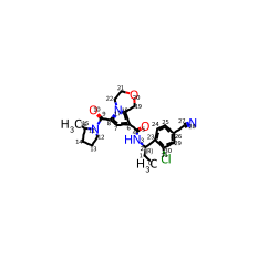 CC[C@@H](NC(=O)c1cc(C(=O)N2CCCC2C)n2c1COCC2)c1ccc(C#N)cc1Cl